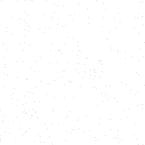 CCCCC(=N)/C=C\C=N/N